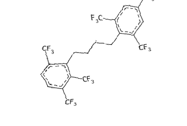 FC(F)(F)c1cc(C(F)(F)F)c(C[CH]CCc2c(C(F)(F)F)ccc(C(F)(F)F)c2C(F)(F)F)c(C(F)(F)F)c1